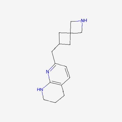 c1cc2c(nc1CC1CC3(CNC3)C1)NCCC2